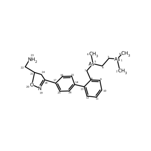 C[As](C)CC[As](C)Cc1ccccc1-c1ccc(C2=NOC(CN)C2)cc1